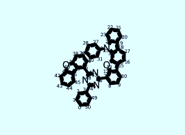 c1ccc(-c2nc(-c3cccc4c3oc3c4ccc4c5ccccc5n(-c5ccccc5)c43)nc(-c3cccc4oc5ccccc5c34)n2)cc1